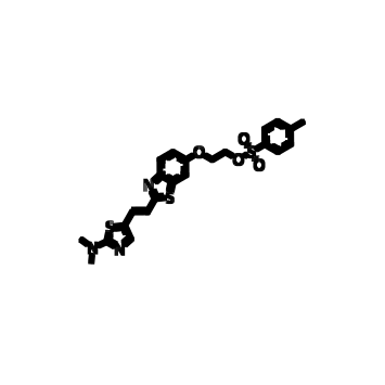 Cc1ccc(S(=O)(=O)OCCOc2ccc3nc(C=Cc4cnc(N(C)C)s4)sc3c2)cc1